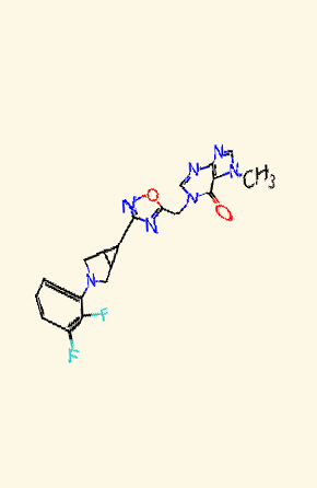 Cn1cnc2ncn(Cc3nc(C4C5CN(c6cccc(F)c6F)CC54)no3)c(=O)c21